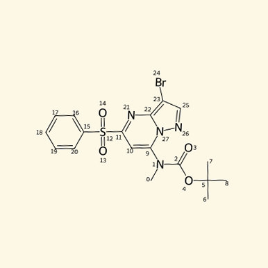 CN(C(=O)OC(C)(C)C)c1cc(S(=O)(=O)c2ccccc2)nc2c(Br)cnn12